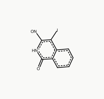 O=Nc1[nH]c(=O)c2ccccc2c1I